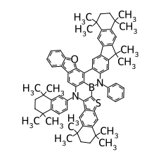 CC1(C)CCC(C)(C)c2cc(N3c4cc5c(oc6ccccc65)c5c4B(c4sc6cc7c(cc6c43)C(C)(C)CCC7(C)C)N(c3ccccc3)c3cc4c(cc3-5)-c3cc5c(cc3C4(C)C)C(C)(C)CCC5(C)C)ccc21